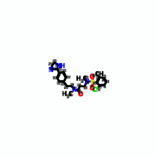 Cc1cccc(Cl)c1S(=O)(=O)N(C)CCC(=O)N(C)CCc1ccc(C2=NCCN2)cc1